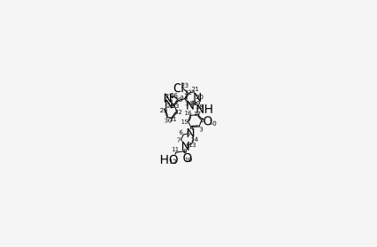 COc1cc(N2CCN(C(=O)CO)CC2)ccc1Nc1ncc(Cl)c(-c2cnn3ccccc23)n1